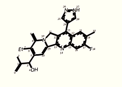 C=C(C)C(O)C1=C(CC)C(=C)N2Cc3c(nc4cc(F)c(C)cc4c3-c3cn[nH]c3)C2=C1